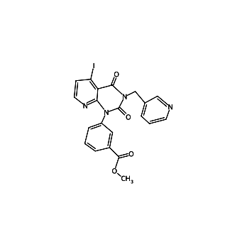 COC(=O)c1cccc(-n2c(=O)n(Cc3cccnc3)c(=O)c3c(I)ccnc32)c1